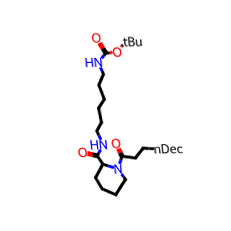 CCCCCCCCCCCCC(=O)N1CCCCC1C(=O)NCCCCCCNC(=O)OC(C)(C)C